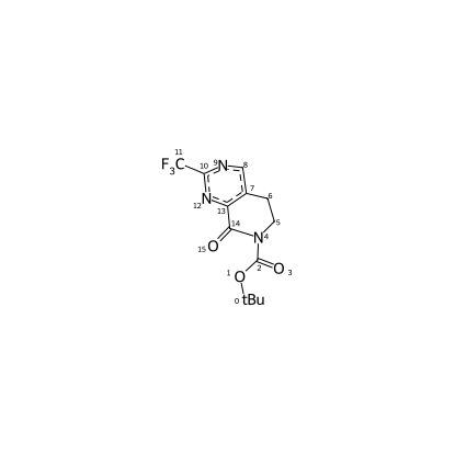 CC(C)(C)OC(=O)N1CCc2cnc(C(F)(F)F)nc2C1=O